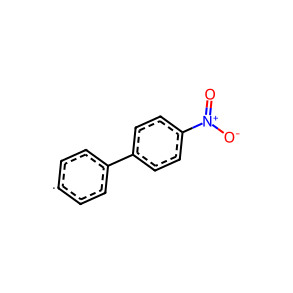 O=[N+]([O-])c1ccc(-c2cc[c]cc2)cc1